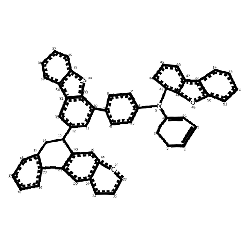 C1=CCCC(N(c2ccc(-c3cc(C4Cc5ccccc5-c5cc6ccccc6cc54)cc4c3sc3ccccc34)cc2)c2cccc3c2oc2ccccc23)=C1